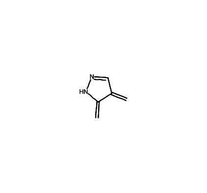 C=c1cn[nH]c1=C